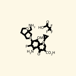 COc1c(N2CC3CCOC3(CN)C2)c(F)c(N)c2c(=O)c(C(=O)O)cn(C3CC3)c12.O=C(O)C(F)(F)F